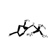 CC(C)(C)Nc1ccc(I)cc1N